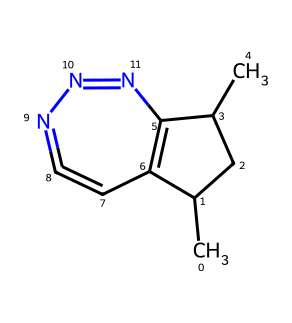 CC1CC(C)C2=C1C=C=NN=N2